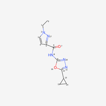 CCn1ccc(C(=O)Nc2nnc(C3CC3)o2)n1